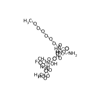 CCCOCCOCCOCCOCCOCCOCCC(=O)N[C@@H](Cc1ccccc1)C(=O)N[C@@H](CCCCN)C(=O)Nc1ccc(C(O)C(=O)N[C@H]2CCc3c(C)c(F)cc4nc5c(c2c34)Cn2c-5cc3c(c2=O)COC(=O)[C@]3(O)CC)cc1